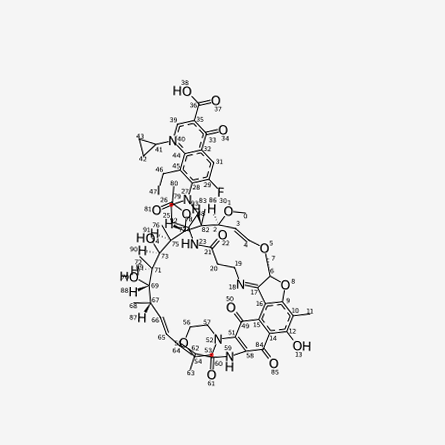 CO[C@H]1/C=C/O[C@@]2(C)Oc3c(C)c(O)c4c(c3/C2=N/CCC(=O)NC2CCN(c3c(F)cc5c(=O)c(C(=O)O)cn(C6CC6)c5c3CI)C2)C(=O)C(N2CCOCC2)=C(NC(=O)/C(C)=C\C=C\[C@H](C)[C@H](O)[C@@H](C)[C@@H](O)[C@@H](C)[C@H](OC(C)=O)[C@@H]1C)C4=O